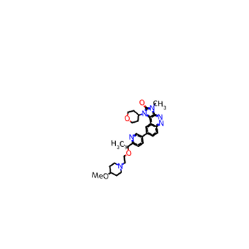 COC1CCN(CCO[C@H](C)c2ccc(-c3ccc4nnc5c(c4c3)n(C3CCOCC3)c(=O)n5C)cn2)CC1